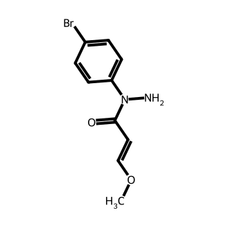 COC=CC(=O)N(N)c1ccc(Br)cc1